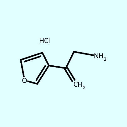 C=C(CN)c1ccoc1.Cl